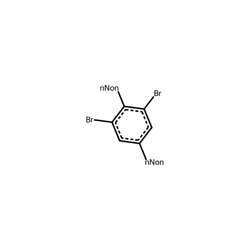 CCCCCCCCCc1cc(Br)c(CCCCCCCCC)c(Br)c1